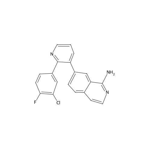 Nc1nccc2ccc(-c3cccnc3-c3ccc(F)c(Cl)c3)cc12